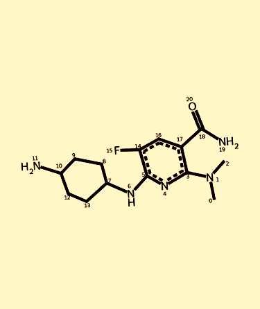 CN(C)c1nc(NC2CCC(N)CC2)c(F)cc1C(N)=O